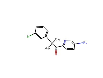 CC(C)(C(=O)c1ccc(N)cn1)c1cccc(Br)c1